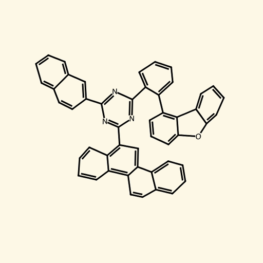 c1ccc(-c2cccc3oc4ccccc4c23)c(-c2nc(-c3ccc4ccccc4c3)nc(-c3cc4c5ccccc5ccc4c4ccccc34)n2)c1